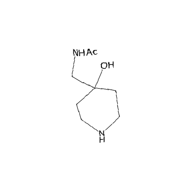 CC(=O)NCC1(O)CCNCC1